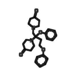 O=C1CCN(CC(CCOc2ccccc2)(Oc2ccccc2)N2CCC(=O)CC2)CC1